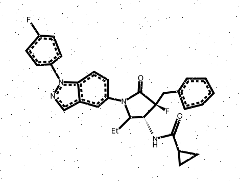 CCC1[C@@H](NC(=O)C2CC2)[C@@](F)(Cc2ccccc2)C(=O)N1c1ccc2c(cnn2-c2ccc(F)cc2)c1